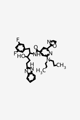 CCCN(CCC)c1cc(C(=O)NC(Cc2cc(F)cc(F)c2)C(O)CCc2nc3ccccc3[nH]2)cc(-c2ncco2)n1